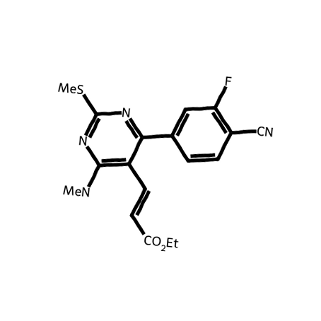 CCOC(=O)C=Cc1c(NC)nc(SC)nc1-c1ccc(C#N)c(F)c1